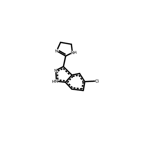 Clc1ccc2[nH]nc(C3=NCCN3)c2c1